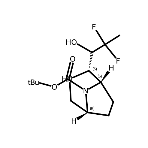 CC(C)(C)OC(=O)N1[C@@H]2CC[C@H]1[C@@H](C(O)C(C)(F)F)NC2